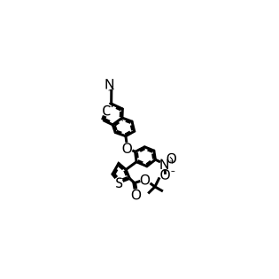 CC(C)(C)OC(=O)c1sccc1-c1cc([N+](=O)[O-])ccc1Oc1ccc2cc(C#N)ccc2c1